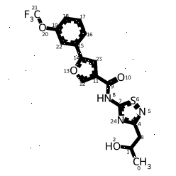 CC(O)Cc1nsc(NC(=O)c2coc(-c3cccc(OC(F)(F)F)c3)c2)n1